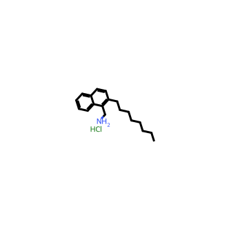 CCCCCCCCc1ccc2ccccc2c1CN.Cl